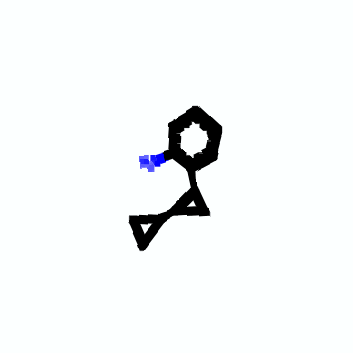 Nc1ccccc1[C@H]1C[C@H]1C1CC1